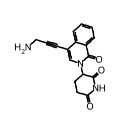 NCC#Cc1cn(C2CCC(=O)NC2=O)c(=O)c2ccccc12